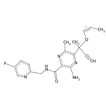 C#CC(C)(O/C=C\C)c1nc(N)c(C(=O)NCc2ccc(F)cn2)nc1C